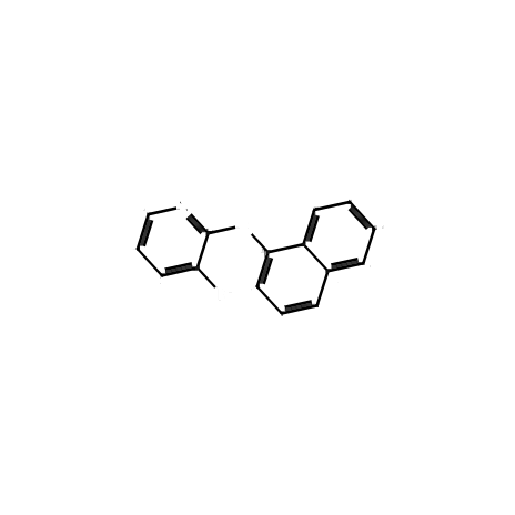 Brc1cccnc1Oc1cccc2ccccc12